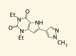 CCn1c(=O)c2[nH]c(-c3cnn(C)c3)cc2n(CC)c1=O